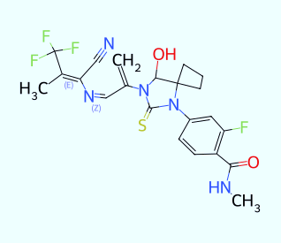 C=C(/C=N\C(C#N)=C(/C)C(F)(F)F)N1C(=S)N(c2ccc(C(=O)NC)c(F)c2)C2(CCC2)C1O